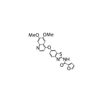 COc1cc2nccc(Oc3ccc4nc(NC(=O)c5ccco5)sc4c3)c2cc1OC